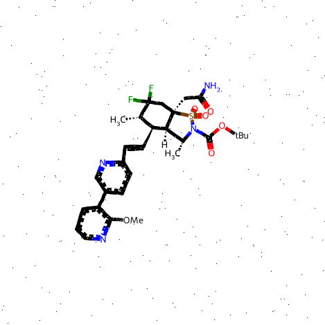 COc1ncccc1-c1ccc(C=C[C@@H]2[C@@H]3[C@@H](C)N(C(=O)OC(C)(C)C)S(=O)(=O)[C@]3(CC(N)=O)CC(F)(F)[C@H]2C)nc1